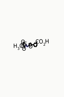 CN1C(=O)S/C(=C\c2ccc(-c3cccc(C(=O)O)c3)o2)C1=O